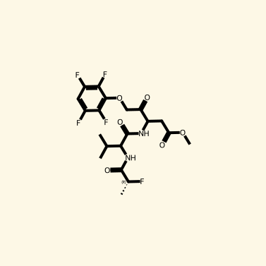 COC(=O)CC(NC(=O)C(NC(=O)[C@@H](C)F)C(C)C)C(=O)COc1c(F)c(F)cc(F)c1F